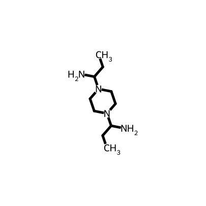 CCC(N)N1CCN(C(N)CC)CC1